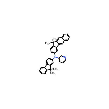 CC1(C)c2ccccc2-c2ccc(N(c3cccnc3)c3ccc4c(c3)-c3cc5ccccc5cc3C4(C)C)cc21